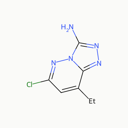 CCc1cc(Cl)nn2c(N)nnc12